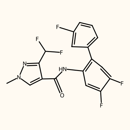 Cn1cc(C(=O)Nc2cc(F)c(F)cc2-c2cccc(F)c2)c(C(F)F)n1